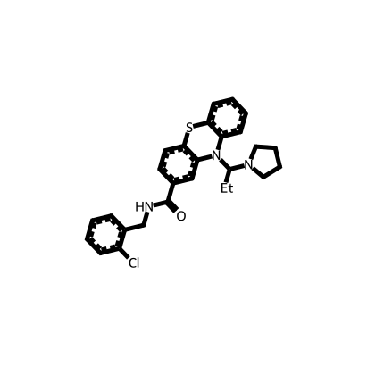 CCC(N1CCCC1)N1c2ccccc2Sc2ccc(C(=O)NCc3ccccc3Cl)cc21